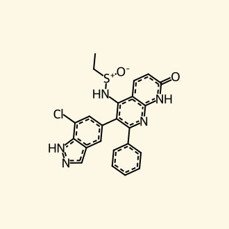 CC[S+]([O-])Nc1c(-c2cc(Cl)c3[nH]ncc3c2)c(-c2ccccc2)nc2[nH]c(=O)ccc12